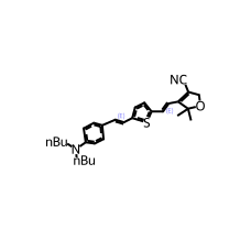 CCCCN(CCCC)c1ccc(/C=C/c2ccc(/C=C/C3=C(C#N)COC3(C)C)s2)cc1